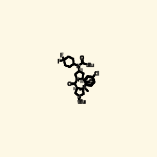 CN(C)C(=O)[C@@H]1C[C@H](N(C(=O)C(C)(C)C)C2CCC(F)(F)CC2)CN1C(=O)[C@@H]1CN(C(C)(C)C)C[C@H]1c1ccc(Cl)cc1